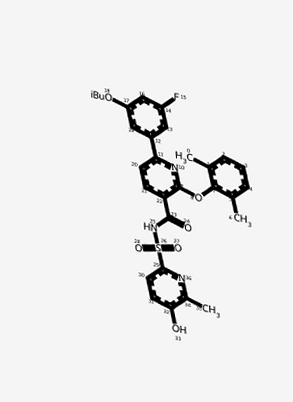 Cc1cccc(C)c1Oc1nc(-c2cc(F)cc(OCC(C)C)c2)ccc1C(=O)NS(=O)(=O)c1ccc(O)c(C)n1